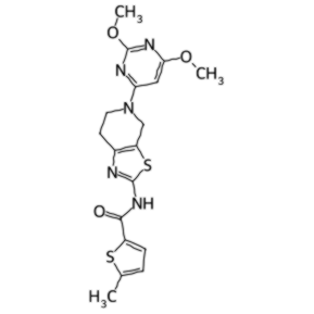 COc1cc(N2CCc3nc(NC(=O)c4ccc(C)s4)sc3C2)nc(OC)n1